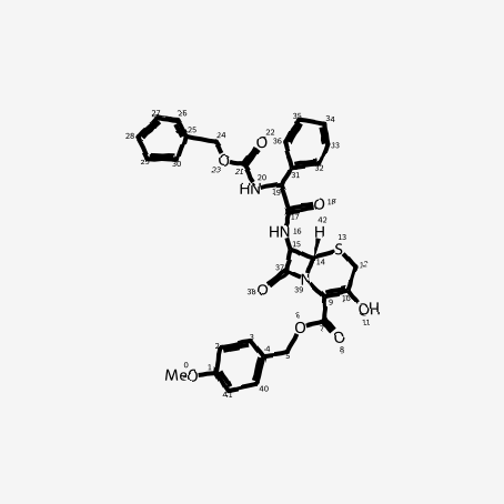 COc1ccc(COC(=O)C2=C(O)CS[C@H]3C(NC(=O)C(NC(=O)OCc4ccccc4)c4ccccc4)C(=O)N23)cc1